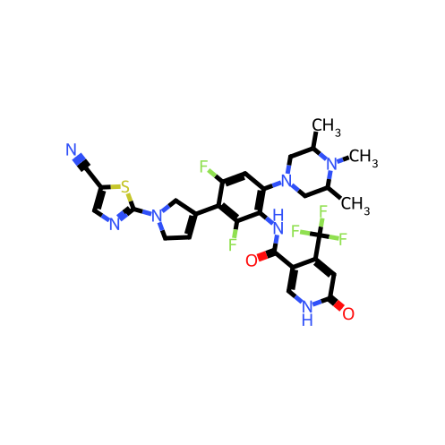 CC1CN(c2cc(F)c(C3=CCN(c4ncc(C#N)s4)C3)c(F)c2NC(=O)c2c[nH]c(=O)cc2C(F)(F)F)CC(C)N1C